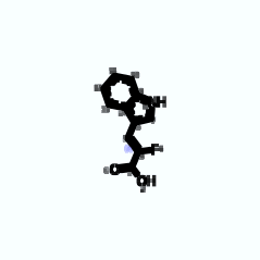 O=C(O)/C(F)=C/c1c[nH]c2ccccc12